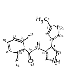 Cc1cc(-c2n[nH]cc2NC(=O)c2c(F)cccc2F)no1